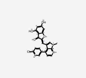 Cn1cc(/C=C2\Oc3cc(O)cc(O)c3C2=O)c2c(-c3ccc(Cl)nc3)ccnc21